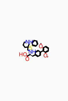 COc1cccc(OC)c1-c1ccc(C[C@H](NCC2(Sc3ccccc3)CCCNC2)C(=O)O)cc1